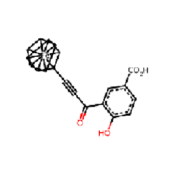 O=C(O)c1ccc(O)c(C(=O)C#C[C]23[CH]4[CH]5[CH]6[CH]2[Fe]56432789[CH]3[CH]2[CH]7[CH]8[CH]39)c1